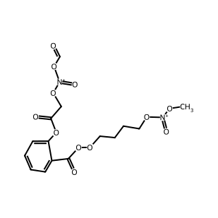 CO[N+](=O)OCCCCOOC(=O)c1ccccc1OC(=O)CO[N+](=O)OC=O